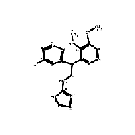 COc1cccc(C(CNC2=NCCO2)c2cncc(F)c2)c1OC